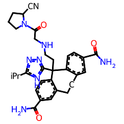 CC(C)c1nnc(C2(CCNCC(=O)N3CCCC3C#N)c3ccc(C(N)=O)cc3CCc3cc(C(N)=O)ccc32)[nH]1